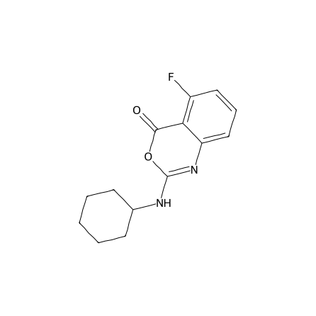 O=c1oc(NC2CCCCC2)nc2cccc(F)c12